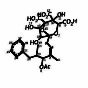 CC(=O)OC(C(C)=CCC12OC(C(=O)O)C(O)(C(=O)O)C(C(=O)O)(O1)C(O)C2O)C(C)Cc1ccccc1